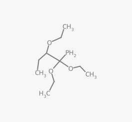 CCOC(CC)C(P)(OCC)OCC